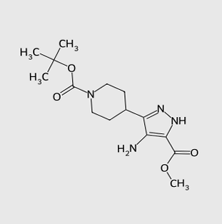 COC(=O)c1[nH]nc(C2CCN(C(=O)OC(C)(C)C)CC2)c1N